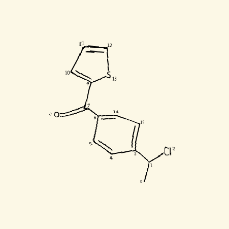 CC(Cl)c1ccc(C(=O)c2cccs2)cc1